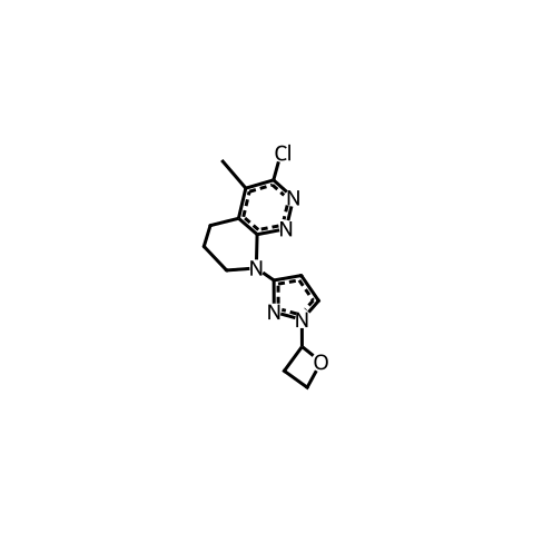 Cc1c(Cl)nnc2c1CCCN2c1ccn(C2CCO2)n1